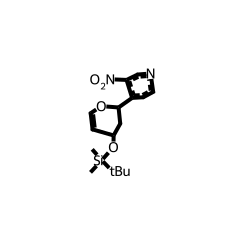 CC(C)(C)[Si](C)(C)OC1C=COC(c2ccncc2[N+](=O)[O-])C1